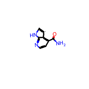 NC(=O)c1ccnc2[nH]c[c]c12